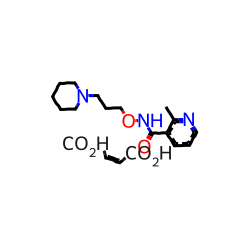 Cc1ncccc1C(=O)NOCCCN1CCCCC1.O=C(O)/C=C\C(=O)O